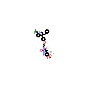 CCC1(c2ccc3c(c2)OCO3)NC(=O)N(CCCOc2ccc(-c3c(Cc4ccccc4)cnc4c(C(F)(F)F)cccc34)cc2)C1=O